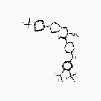 CC(CN1CCN(c2ccc(C(F)(F)F)cc2)CC1)C(=S)N1CCC(Nc2ccc(N(O)O)c(C(F)(F)F)c2)CC1